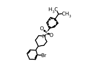 CC(C)c1ccc(S(=O)(=O)N2CCC(C3C=CCC=C3Br)CC2)cc1